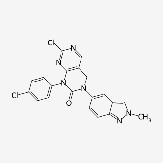 Cn1cc2cc(N3Cc4cnc(Cl)nc4N(c4ccc(Cl)cc4)C3=O)ccc2n1